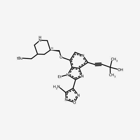 CCn1c(-c2nonc2N)nc2c(C#CC(C)(C)O)ncc(OC[C@@H]3CNCC(CC(C)(C)C)C3)c21